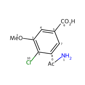 CC(N)=O.COc1cc(C(=O)O)ccc1Cl